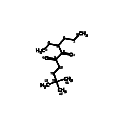 CCCC(CC)C(=O)C(=O)CCC(C)(C)C